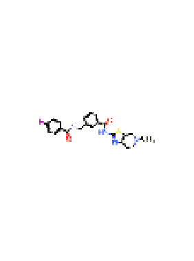 CN1CCc2nc(NC(=O)c3cccc(CNC(=O)c4ccc(I)cc4)c3)sc2C1